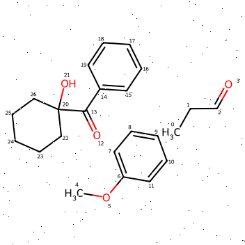 CCC=O.COc1ccccc1.O=C(c1ccccc1)C1(O)CCCCC1